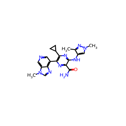 Cc1nn(C)cc1Nc1nc(C2CC2)c(-c2cncc3c2ncn3C)nc1C(N)=O